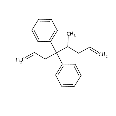 C=CCC(C)C(CC=C)(c1ccccc1)c1ccccc1